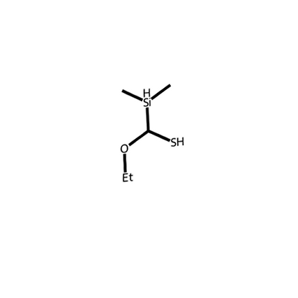 CCOC(S)[SiH](C)C